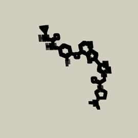 CN(C)[C@H]1CCN(C(=O)Cn2cc(-c3cc4nccc(Oc5ccc(NC(=O)NC6CC6)cc5F)c4s3)nn2)C1